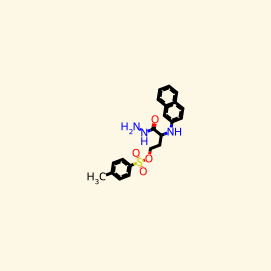 Cc1ccc(S(=O)(=O)OCCC(Nc2ccc3ccccc3c2)C(=O)NN)cc1